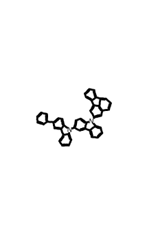 c1ccc(-c2ccc3c(c2)c2ccccc2n3-c2ccc3c(c2)c2ccccc2n3-c2cc3c4c(cccc4c2)-c2ccccc2-3)cc1